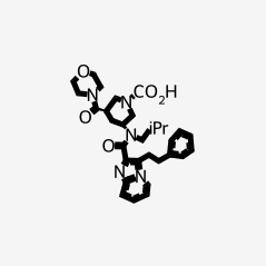 CC(C)CN(C(=O)c1nc2ccccn2c1CCc1ccccc1)[C@H]1C[C@@H](C(=O)N2CCOCC2)CN(C(=O)O)C1